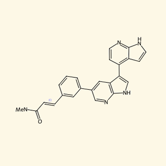 CNC(=O)/C=C/c1cccc(-c2cnc3[nH]cc(-c4ccnc5[nH]ccc45)c3c2)c1